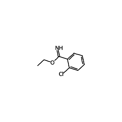 CCOC(=N)c1ccccc1Cl